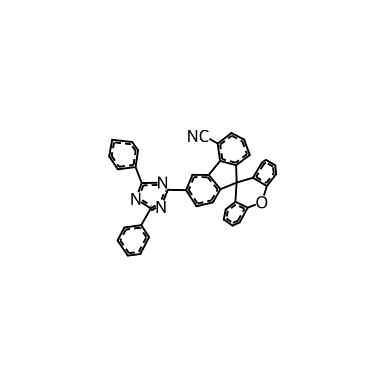 N#Cc1cccc2c1-c1cc(-c3nc(-c4ccccc4)nc(-c4ccccc4)n3)ccc1C21c2ccccc2Oc2ccccc21